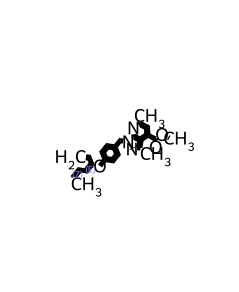 C=C/C(=C\C=C/C)Oc1ccc(Cn2nc(C)c3c(C(=O)OC)cc(C)nc32)cc1